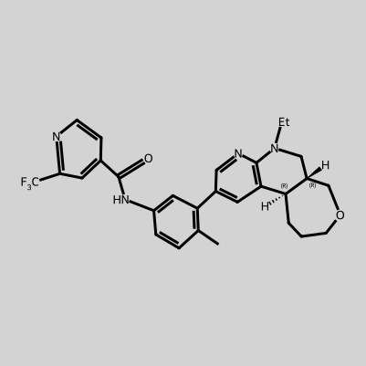 CCN1C[C@@H]2COCCC[C@H]2c2cc(-c3cc(NC(=O)c4ccnc(C(F)(F)F)c4)ccc3C)cnc21